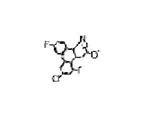 COC(=O)CC(c1c(F)cc(Cl)cc1F)C(C#N)c1ccc(F)cc1